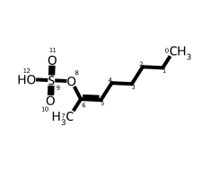 CCCCCC=C(C)OS(=O)(=O)O